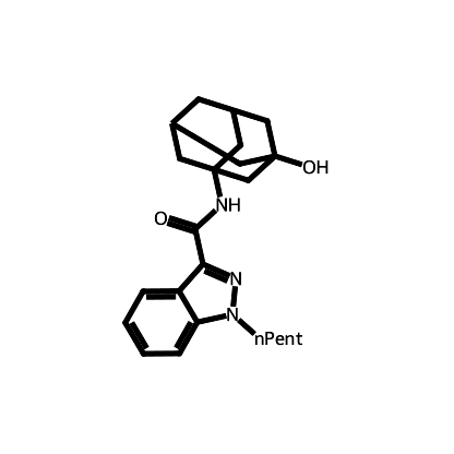 CCCCCn1nc(C(=O)NC23CC4CC(CC(O)(C4)C2)C3)c2ccccc21